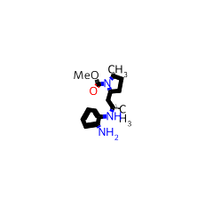 COC(=O)N1C(C)CCC1C[C@H](C)Nc1ccccc1N